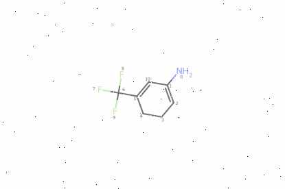 NC1=CC[CH]C(C(F)(F)F)=C1